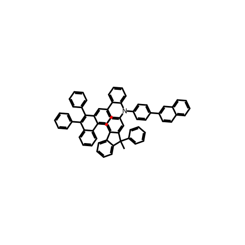 CC1(c2ccccc2)c2ccccc2-c2ccc(N(c3ccc(-c4ccc5ccccc5c4)cc3)c3ccccc3-c3ccc4c(c3)c(-c3ccccc3)c(-c3ccccc3)c3ccccc34)cc21